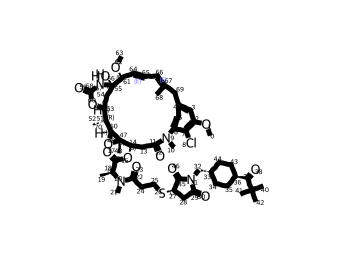 COc1cc2cc(c1Cl)N(C)C(=O)C[C@H](OC(=O)[C@H](C)N(C)C(=O)CCS[C@H]1CC(=O)N(C[C@H]3CC[C@H](C(=O)C(C)(C)C)CC3)C1=O)[C@]1(C)O[C@H]1[C@H](C)[C@@H]1C[C@@](O)(NC(=O)O1)[C@H](OC)/C=C/C=C(\C)C2